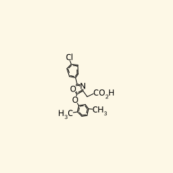 Cc1ccc(C)c(Oc2oc(-c3ccc(Cl)cc3)nc2CC(=O)O)c1